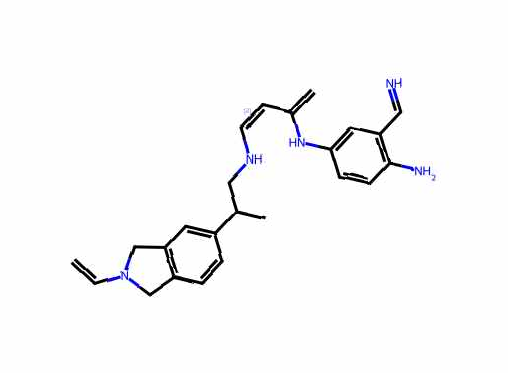 C=CN1Cc2ccc(C(C)CN/C=C\C(=C)Nc3ccc(N)c(C=N)c3)cc2C1